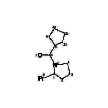 CC(C)C1CCCN1C(=O)C1CCCC1